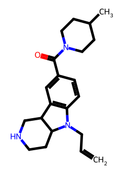 C=CCN1c2ccc(C(=O)N3CCC(C)CC3)cc2C2CNCCC21